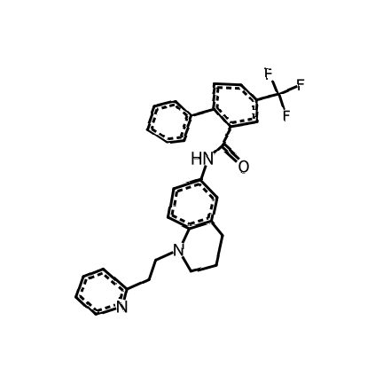 O=C(Nc1ccc2c(c1)CCCN2CCc1ccccn1)c1cc(C(F)(F)F)ccc1-c1ccccc1